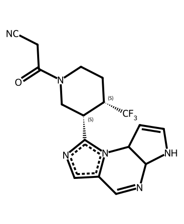 N#CCC(=O)N1CC[C@H](C(F)(F)F)[C@H](c2ncc3n2C2C=CNC2N=C3)C1